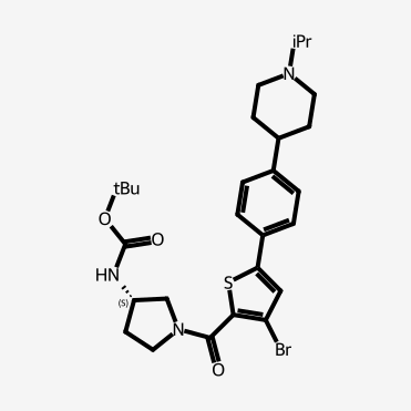 CC(C)N1CCC(c2ccc(-c3cc(Br)c(C(=O)N4CC[C@H](NC(=O)OC(C)(C)C)C4)s3)cc2)CC1